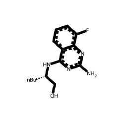 CCCC[C@@H](CO)Nc1nc(N)nc2c(F)cccc12